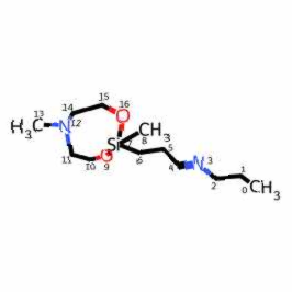 CCCN=CCC[Si]1(C)OCCN(C)CCO1